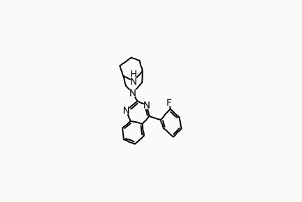 Fc1ccccc1-c1nc(N2CC3CCCC(C2)N3)nc2ccccc12